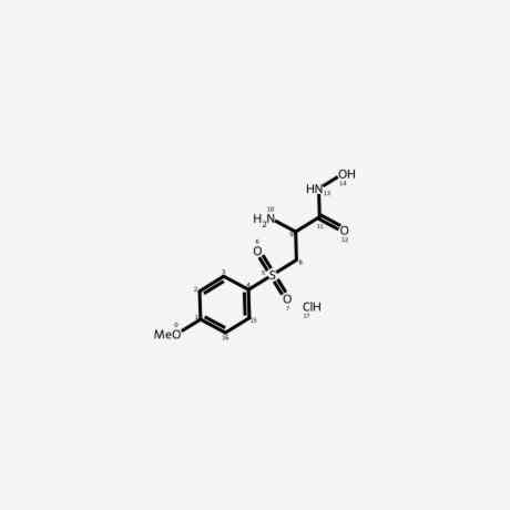 COc1ccc(S(=O)(=O)CC(N)C(=O)NO)cc1.Cl